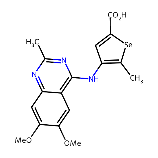 COc1cc2nc(C)nc(Nc3cc(C(=O)O)[se]c3C)c2cc1OC